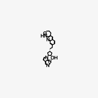 O[C@@H]1C[C@@H](CCc2ccc3cc4c(nc3c2)NOCCC4)C[C@H]1n1ccc2cncnc21